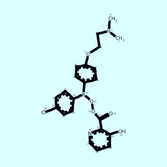 CN(C)CCOc1ccc(B(OOC(=O)c2ncccc2O)c2ccc(Cl)cc2)cc1